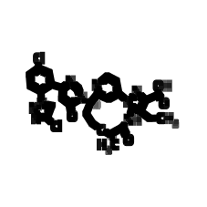 CCc1c(C(=O)O)nn2c1NC(=O)[C@H](C)CCC[C@H](n1cnc(-c3cc(Cl)ccc3-n3cc(Cl)nn3)cc1=O)c1cc-2ccn1